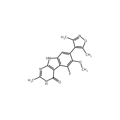 COc1c(-c2c(C)noc2C)cc2[nH]c3nc(C)[nH]c(=O)c3c2c1F